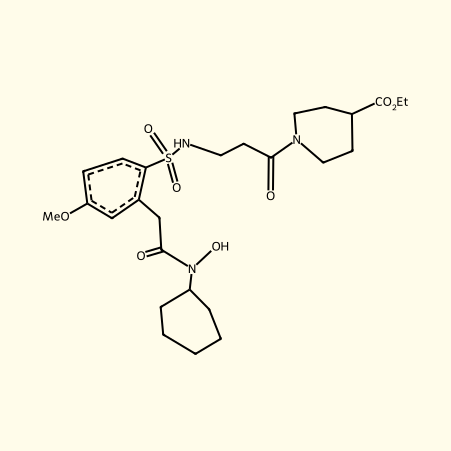 CCOC(=O)C1CCN(C(=O)CCNS(=O)(=O)c2ccc(OC)cc2CC(=O)N(O)C2CCCCC2)CC1